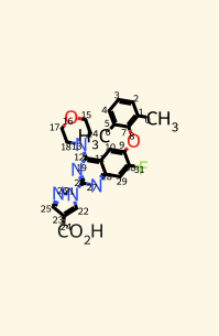 Cc1cccc(C)c1Oc1cc2c(N3CCOCC3)nc(-n3cc(C(=O)O)cn3)nc2cc1F